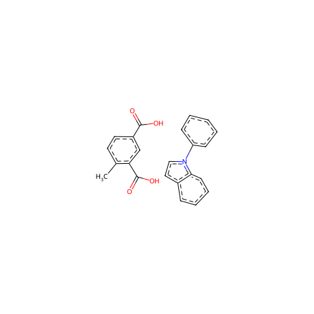 Cc1ccc(C(=O)O)cc1C(=O)O.c1ccc(-n2ccc3ccccc32)cc1